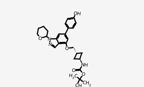 CC(C)(C)OC(=O)N[C@H]1C[C@H](COc2cc(-c3ccc(O)cc3)cc3c2cnn3C2CCCCO2)C1